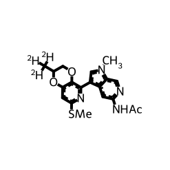 [2H]C([2H])([2H])C1COc2c(cc(SC)nc2-c2cn(C)c3cnc(NC(C)=O)cc23)O1